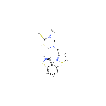 C1=NSCC1.CN1CSC(=S)N(C)C1.c1ccc2sncc2c1